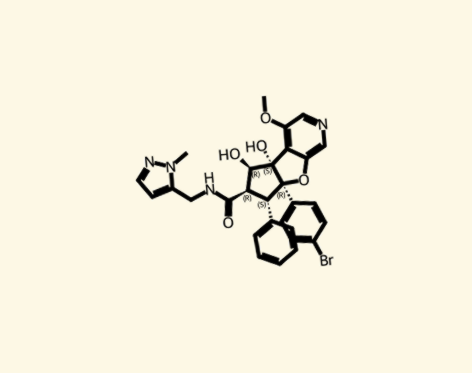 COc1cncc2c1[C@]1(O)[C@H](O)[C@H](C(=O)NCc3ccnn3C)[C@@H](c3ccccc3)[C@]1(c1ccc(Br)cc1)O2